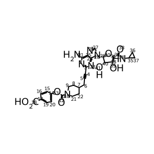 Nc1nc(C#CCC2CCN(C(=O)Oc3ccc(C(=O)O)cc3)CC2)nc2c1ncn2[C@@H]1O[C@H](C(=O)NC2CC2)C(O)[C@@H]1O